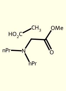 CC(=O)O.CCCN(CCC)CC(=O)OC